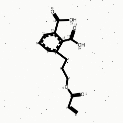 C=CC(=O)OCCCc1cccc(C(=O)O)c1C(=O)O